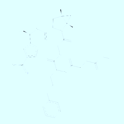 COC(=O)CCC(=O)NC(CCOc1ccccc1)C(=O)NCC(=O)N1[C@H]2C[C@@]2(C)C[C@H]1C(=O)N[C@H](C)c1cc(C(=N)N)cs1